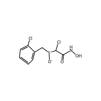 O=C(NO)C(Cl)[S+]([O-])Cc1ccccc1Cl